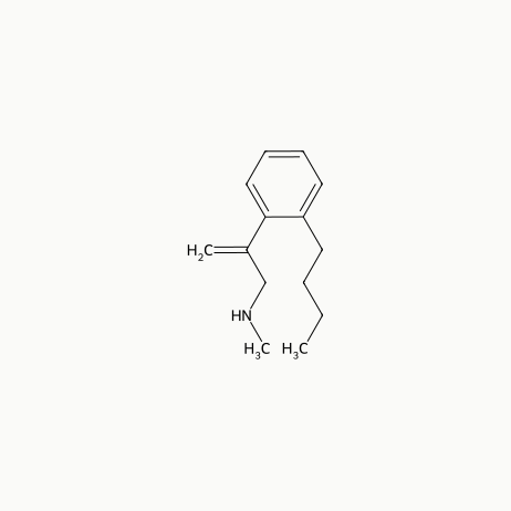 C=C(CNC)c1ccccc1CCCC